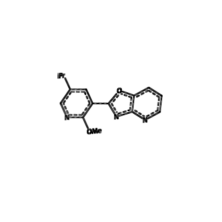 COc1ncc(C(C)C)cc1-c1nc2ncccc2o1